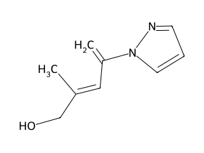 C=C(/C=C(\C)CO)n1cccn1